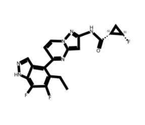 CCc1c(F)c(F)c2[nH]ncc2c1-c1ccn2nc(NC(=O)[C@@H]3C[C@@H]3F)cc2n1